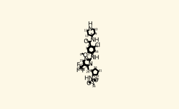 COc1cc(C(=O)NC2CCNCC2)c(Cl)cc1Nc1ncc(C(F)(F)F)c(C[C@@H]2CCC[C@H]2NS(C)(=O)=O)n1